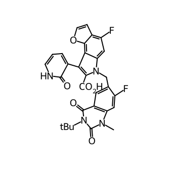 Cn1c(=O)n(C(C)(C)C)c(=O)c2cc(Cn3c(C(=O)O)c(-c4ccc[nH]c4=O)c4c5occc5c(F)cc43)c(F)cc21